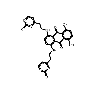 O=C1c2c(O)ccc(O)c2C(=O)c2c(NCCc3ccoc(=O)n3)ccc(NCCc3ccoc(=O)n3)c21